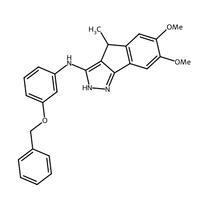 COc1cc2c(cc1OC)C(C)c1c-2n[nH]c1Nc1cccc(OCc2ccccc2)c1